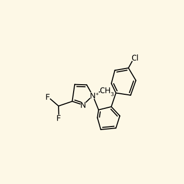 C[N+]1(c2ccccc2-c2ccc(Cl)cc2)C=CC(C(F)F)=N1